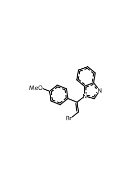 COc1ccc(C(=CBr)n2cnc3ccccc32)cc1